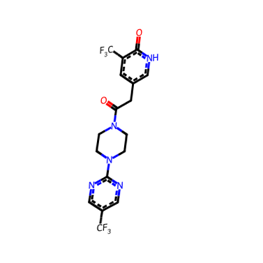 O=C(Cc1c[nH]c(=O)c(C(F)(F)F)c1)N1CCN(c2ncc(C(F)(F)F)cn2)CC1